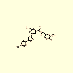 Cc1nc(C(=O)NCc2ccc(F)c(C)c2)cc(C2=NOC(c3ccc(C#N)nn3)C2)n1